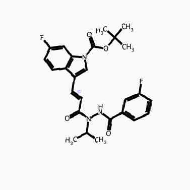 CC(C)N(NC(=O)c1cccc(F)c1)C(=O)/C=C/c1cn(C(=O)OC(C)(C)C)c2cc(F)ccc12